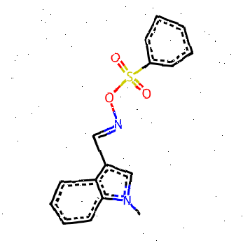 Cn1cc(C=NOS(=O)(=O)c2ccccc2)c2ccccc21